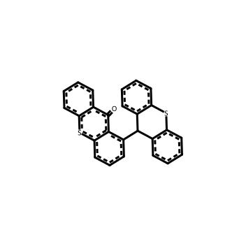 O=c1c2ccccc2sc2cccc(C3c4ccccc4Sc4ccccc43)c12